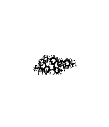 COC(=O)c1cc(C2=C(c3cc(Cl)ccc3OCc3ccc(F)cc3Cl)CCC2)cnc1C(F)(F)F